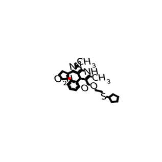 CC1=C(C(=O)OCCSC2CCCC2)C(c2ccccc2[N+](=O)[O-])c2c(C3CCCC3)nn(C)c2N1